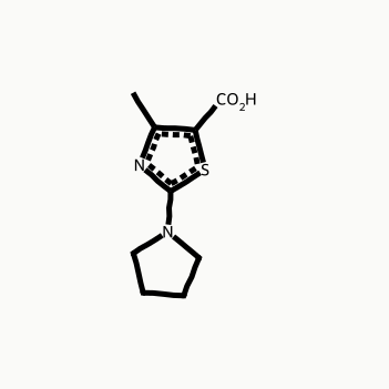 Cc1nc(N2CCCC2)sc1C(=O)O